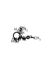 CCCCOc1ccc(-c2nnn([C@H]3C[C@H]4C(=O)N[C@@]5(C(=O)O)C[C@H]5CCCCCCC[C@@H](NC(=O)OC(C)(C)C)C(=O)N4C3)n2)cc1